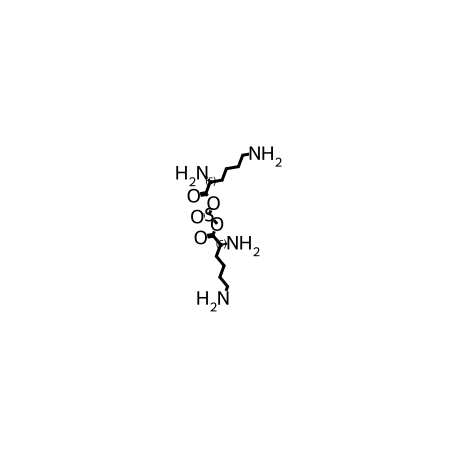 NCCCC[C@H](N)C(=O)OS(=O)OC(=O)[C@@H](N)CCCCN